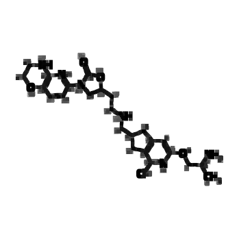 CC(N)COc1cc2c(c(Cl)n1)CC(CNCCC1CN(c3ccc4c(n3)NCCO4)C(=O)O1)C2